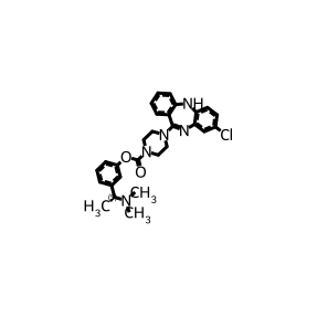 C[C@@H](c1cccc(OC(=O)N2CCN(C3=Nc4cc(Cl)ccc4Nc4ccccc43)CC2)c1)N(C)C